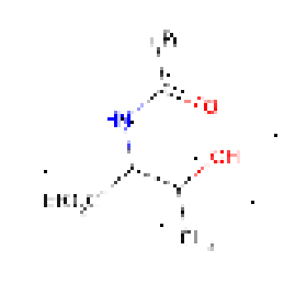 CCCC(=O)NC(C(=O)OCC)C(C)O